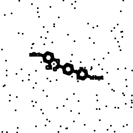 CCCCCCCCc1ccc(OC(=O)c2ccc(-c3ncc(CCCCCCC)cn3)cc2)c(C#N)c1